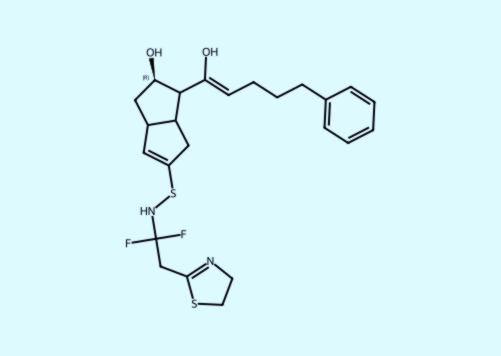 OC(=CCCCc1ccccc1)C1C2CC(SNC(F)(F)CC3=NCCS3)=CC2C[C@H]1O